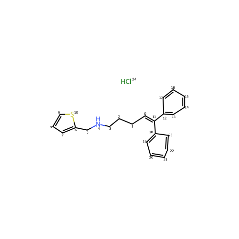 C(CCCNCc1cccs1)=C(c1ccccc1)c1ccccc1.Cl